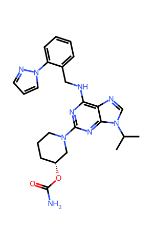 CC(C)n1cnc2c(NCc3ccccc3-n3cccn3)nc(N3CCC[C@@H](OC(N)=O)C3)nc21